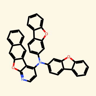 c1ccc2cc3c(cc2c1)oc1nccc(N(c2ccc4c(c2)oc2ccccc24)c2ccc4c(c2)oc2ccccc24)c13